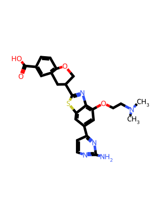 CN(C)CCOc1cc(-c2ccnc(N)n2)cc2sc(C3COc4ccc(C(=O)O)cc4C3)nc12